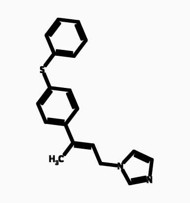 CC(=CCn1ccnc1)c1ccc(Sc2ccccc2)cc1